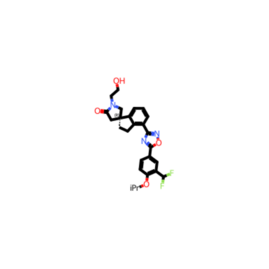 CC(C)Oc1ccc(-c2nc(-c3cccc4c3CC[C@@]43CC(=O)N(CCO)C3)no2)cc1C(F)F